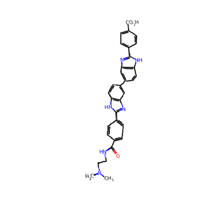 CN(C)CCNC(=O)c1ccc(-c2nc3cc(-c4ccc5[nH]c(-c6ccc(C(=O)O)cc6)nc5c4)ccc3[nH]2)cc1